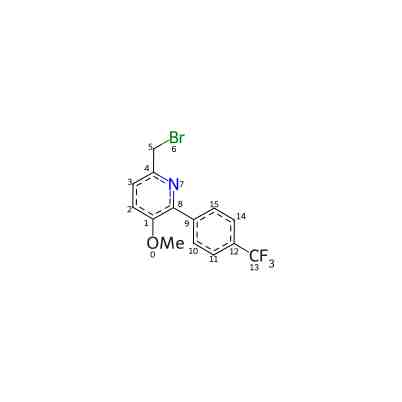 COc1ccc(CBr)nc1-c1ccc(C(F)(F)F)cc1